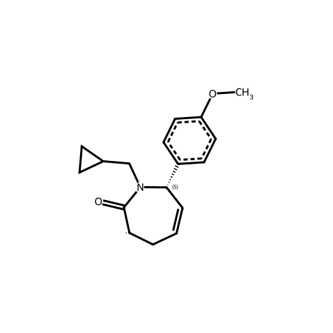 COc1ccc([C@@H]2C=CC[CH]C(=O)N2CC2CC2)cc1